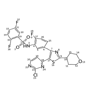 O=S(=O)(Nc1cc(-c2nc(C3CCOCC3)sc2-c2ccnc(Cl)n2)ccc1F)c1cc(F)ccc1F